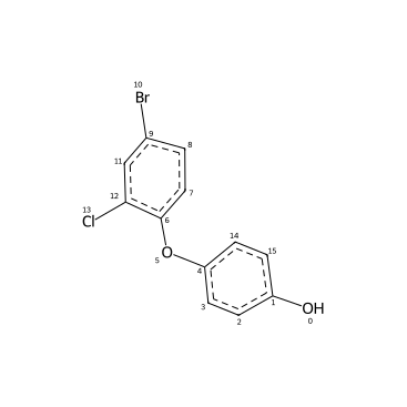 Oc1ccc(Oc2ccc(Br)cc2Cl)cc1